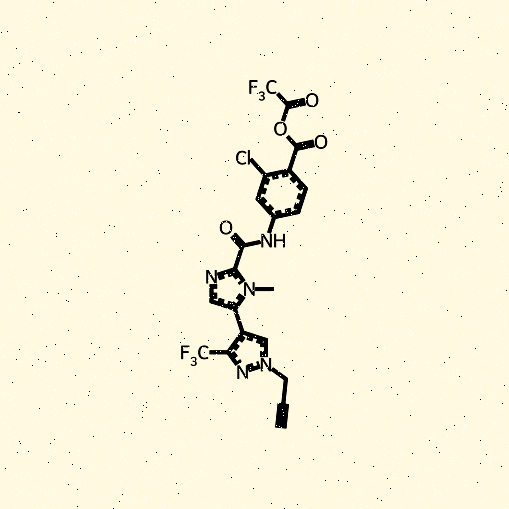 C#CCn1cc(-c2cnc(C(=O)Nc3ccc(C(=O)OC(=O)C(F)(F)F)c(Cl)c3)n2C)c(C(F)(F)F)n1